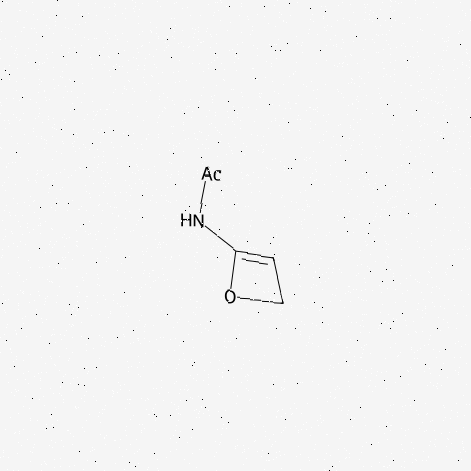 [CH2]C(=O)NC1=CCO1